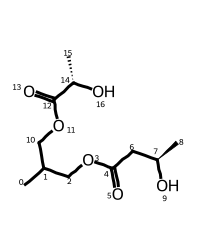 CC(COC(=O)C[C@@H](C)O)COC(=O)[C@H](C)O